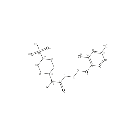 CN(C(=O)CCCOc1ccc(Cl)cc1Cl)C1CCC(S(C)(=O)=O)CC1